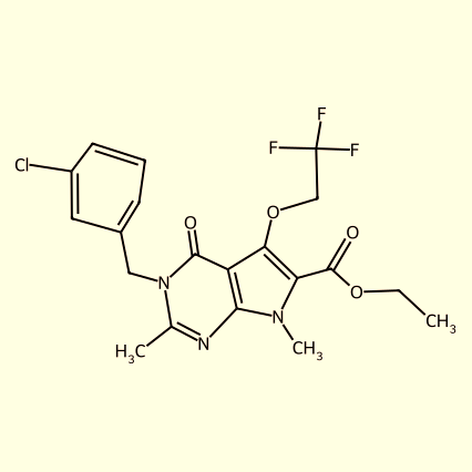 CCOC(=O)c1c(OCC(F)(F)F)c2c(=O)n(Cc3cccc(Cl)c3)c(C)nc2n1C